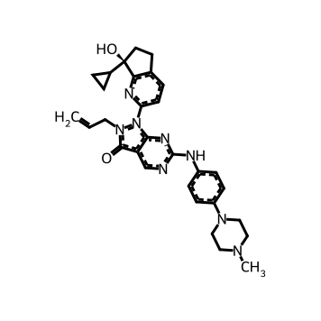 C=CCn1c(=O)c2cnc(Nc3ccc(N4CCN(C)CC4)cc3)nc2n1-c1ccc2c(n1)[C@](O)(C1CC1)CC2